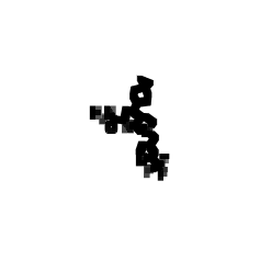 NC(=O)c1cc(C2=CCC3(CC2)CC3)c2c(n1)CN(Cc1ccnc(C(F)(F)F)c1)CC2